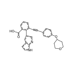 O=C(O)c1cccc(C#Cc2ccc(OC3CCOCC3)cc2)c1-c1cnc2[nH]ccc2c1